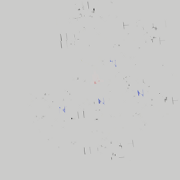 C=C1/C(=C\c2c(C)sc3c2N(c2ccc(C(C)(C)C)cc2)c2cc(N4c5ccccc5C5(C)CCCCC45C)cc4c2B3C2CC=C(N3c5ccccc5C5(C)CCCCC35C)C=C2N4c2ccc(C(C)(C)C)cc2)c2ccccc2C1(C)C